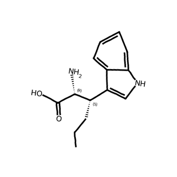 CCC[C@@H](c1c[nH]c2ccccc12)[C@@H](N)C(=O)O